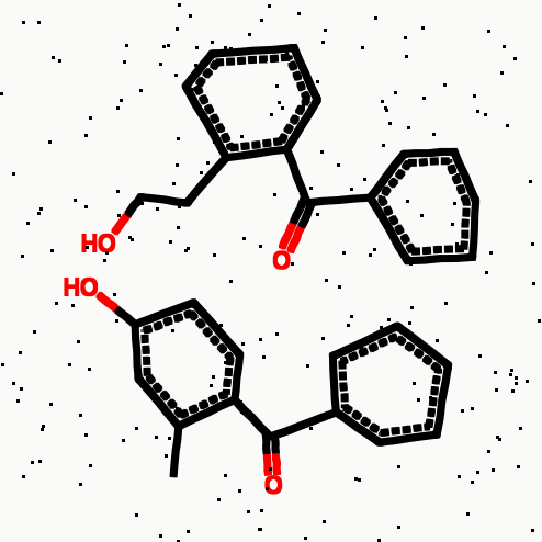 Cc1cc(O)ccc1C(=O)c1ccccc1.O=C(c1ccccc1)c1ccccc1CCO